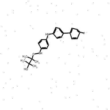 CC(C)(O)C(C)(C)OBc1ccc(Nc2ccc(-c3ccc(F)cc3)cc2)cc1